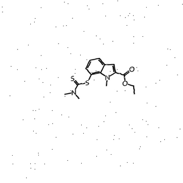 CCOC(=O)c1cc2cccc(SC(=S)N(C)C)c2n1C